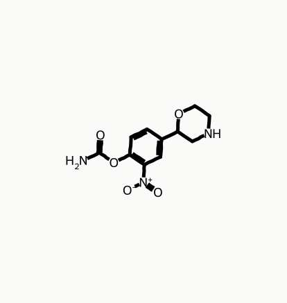 NC(=O)Oc1ccc(C2CNCCO2)cc1[N+](=O)[O-]